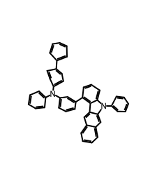 c1ccc(-c2ccc(N(c3ccccc3)c3cccc(-c4cccc5c4c4cc6ccccc6cc4n5-c4ccccc4)c3)cc2)cc1